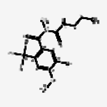 CCCNC(=O)N(C)C(=O)c1cc(O)c(OC)cc1C(F)(F)F